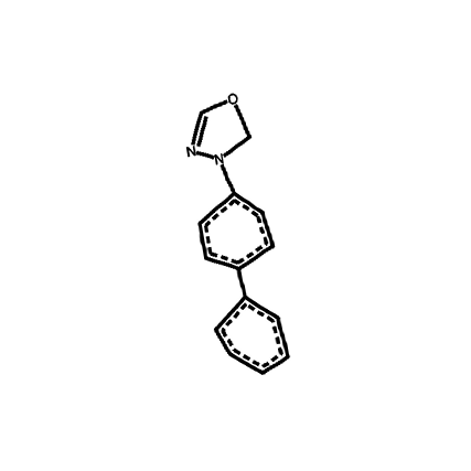 C1=NN(c2ccc(-c3ccccc3)cc2)CO1